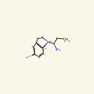 C[CH]C(N)N1CCc2cc(F)ccc21